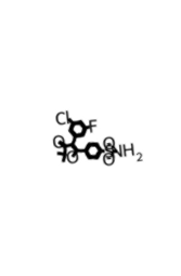 CC1(C)OC(c2ccc(S(N)(=O)=O)cc2)=C(c2cc(F)cc(Cl)c2)C1=O